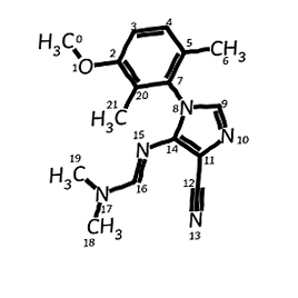 COc1ccc(C)c(-n2cnc(C#N)c2/N=C/N(C)C)c1C